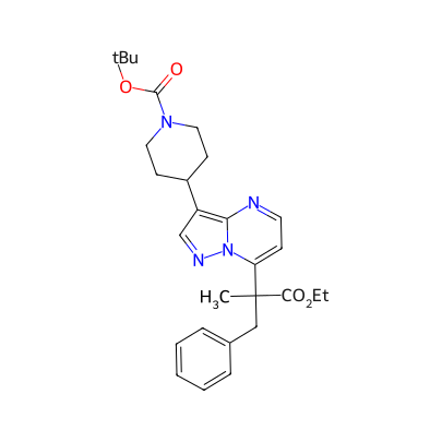 CCOC(=O)C(C)(Cc1ccccc1)c1ccnc2c(C3CCN(C(=O)OC(C)(C)C)CC3)cnn12